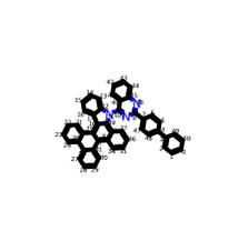 c1ccc(-c2ccc(-c3nc(-n4c5ccccc5c5c6c7ccccc7c7ccccc7c6c6ccccc6c54)c4ccccc4n3)cc2)cc1